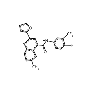 Cc1ccc2nc(-c3ccco3)cc(C(=O)Nc3ccc(F)c(C(F)(F)F)c3)c2c1